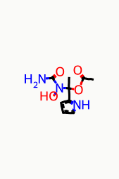 CC(=O)OC(C)(c1ccc[nH]1)N(O)C(N)=O